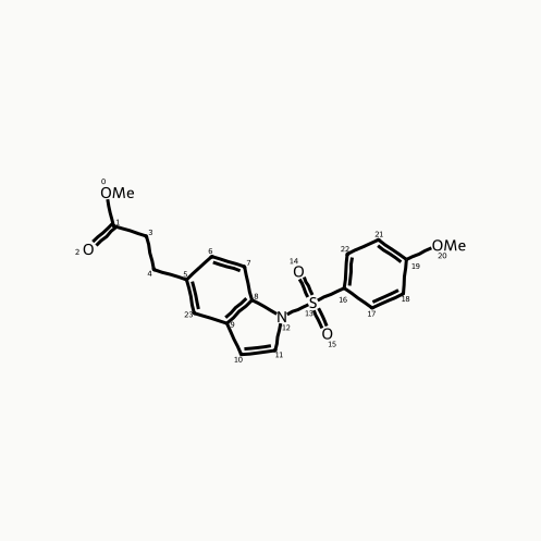 COC(=O)CCc1ccc2c(ccn2S(=O)(=O)c2ccc(OC)cc2)c1